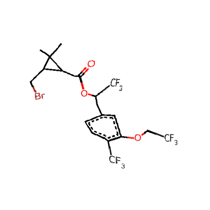 CC1(C)C(CBr)C1C(=O)OC(c1ccc(C(F)(F)F)c(OCC(F)(F)F)c1)C(F)(F)F